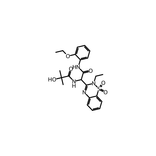 CCOc1ccccc1NC(=O)C(NC(=O)C(C)(C)O)C1=Nc2ccccc2S(=O)(=O)N1CC